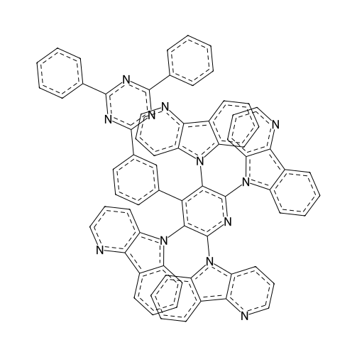 c1ccc(-c2nc(-c3ccccc3)nc(-c3cccc(-c4c(-n5c6ccccc6c6ncccc65)c(-n5c6ccccc6c6ncccc65)nc(-n5c6ccccc6c6ncccc65)c4-n4c5ccccc5c5ncccc54)c3)n2)cc1